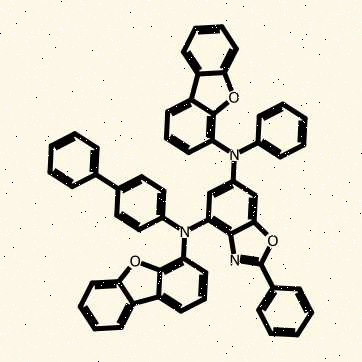 c1ccc(-c2ccc(N(c3cc(N(c4ccccc4)c4cccc5c4oc4ccccc45)cc4oc(-c5ccccc5)nc34)c3cccc4c3oc3ccccc34)cc2)cc1